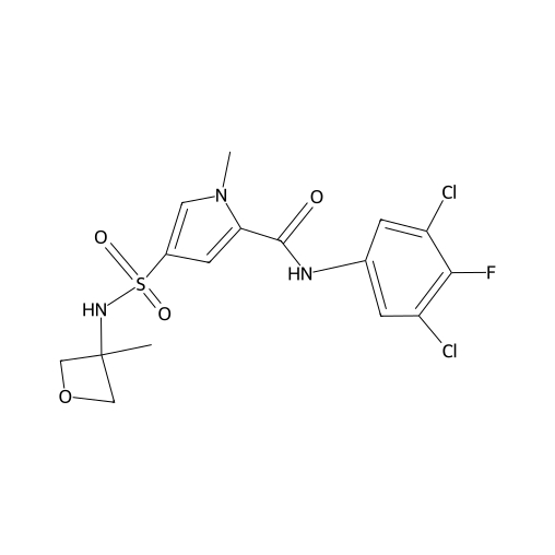 Cn1cc(S(=O)(=O)NC2(C)COC2)cc1C(=O)Nc1cc(Cl)c(F)c(Cl)c1